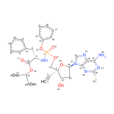 C#C[C@]1(COP(=O)(N[C@@H](Cc2ccccc2)C(=O)OC(CCCCCCCCCC)CCCCCCCCCC)Oc2ccccc2)O[C@@H](n2cnc3c(N)nc(F)nc32)C[C@@H]1O